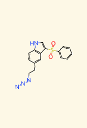 [N-]=[N+]=NCCc1ccc2[nH]cc(S(=O)(=O)c3ccccc3)c2c1